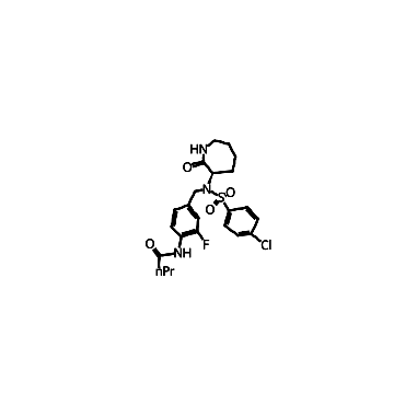 CCCC(=O)Nc1ccc(CN([C@@H]2CCCCNC2=O)S(=O)(=O)c2ccc(Cl)cc2)cc1F